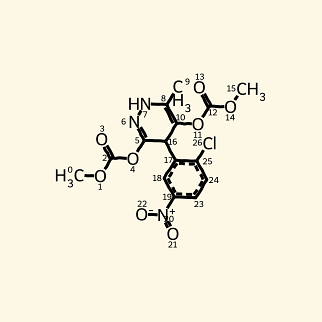 COC(=O)OC1=NNC(C)=C(OC(=O)OC)C1c1cc([N+](=O)[O-])ccc1Cl